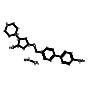 CC=O.COc1ccc(-c2ccc(COC3CC(O)C(N4CCOCC4)C3)cc2)cc1